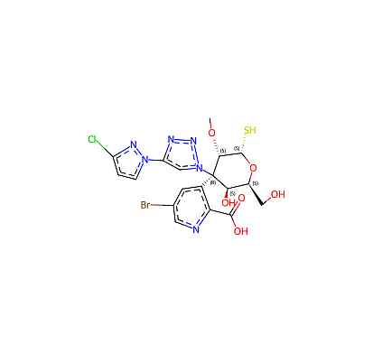 CO[C@@H]1[C@H](S)O[C@@H](CO)[C@@H](O)[C@@]1(c1cc(Br)cnc1C(=O)O)n1cc(-n2ccc(Cl)n2)nn1